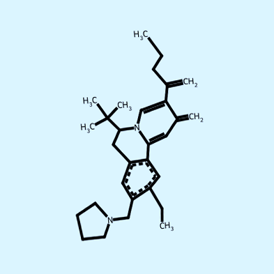 C=C1C=C2c3cc(CC)c(CN4CCCC4)cc3CC(C(C)(C)C)N2C=C1C(=C)CCC